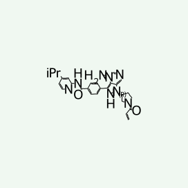 C=CC(=O)N1CC[C@@H](N2NC(c3ccc(C(=O)Nc4cc(C(C)C)ccn4)cc3)=C3C2=CN=CN3N)C1